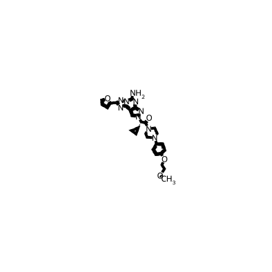 COCCOc1ccc(N2CCN(C(=O)[C@H](C3CC3)n3cc4c(nc(N)n5nc(-c6ccco6)nc45)n3)CC2)cc1